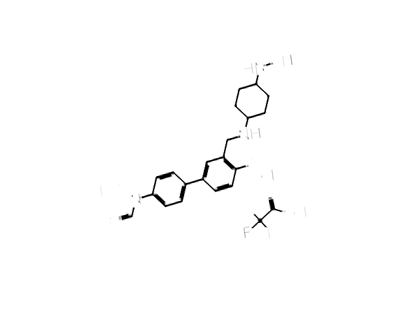 CNC1CCC(NCc2cc(-c3ccc(N(C)C=O)cc3)ccc2OC)CC1.O=C(O)C(F)(F)F